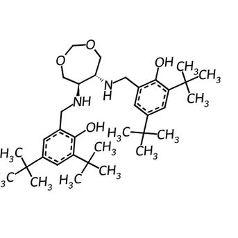 CC(C)(C)c1cc(CN[C@H]2COCOC[C@@H]2NCc2cc(C(C)(C)C)cc(C(C)(C)C)c2O)c(O)c(C(C)(C)C)c1